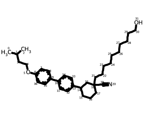 CC(C)CCOc1ccc(-c2ccc(C3CCCC(C#N)(CCCCCCCCCCO)C3)cc2)cc1